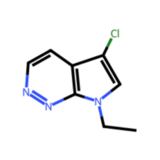 CCn1cc(Cl)c2ccnnc21